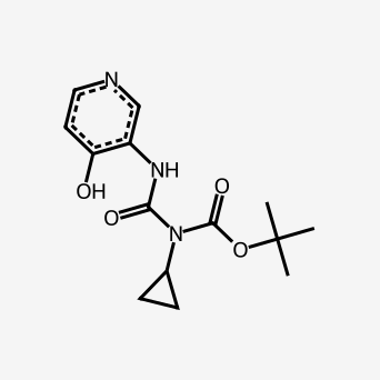 CC(C)(C)OC(=O)N(C(=O)Nc1cnccc1O)C1CC1